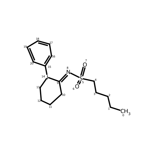 CCCCCS(=O)(=O)N=C1CCCCI1c1ccccc1